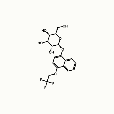 OC[C@H]1O[C@@H](Oc2ccc(OCC(F)(F)F)c3ccccc23)[C@H](O)[C@@H](O)[C@H]1O